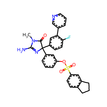 CN1C(=O)C(c2cccc(OS(=O)(=O)c3ccc4c(c3)CCC4)c2)(c2ccc(F)c(-c3cccnc3)c2)N=C1N